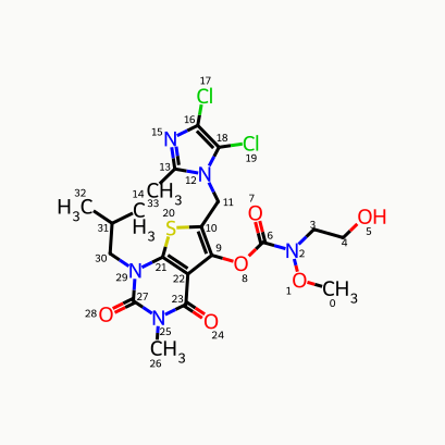 CON(CCO)C(=O)Oc1c(Cn2c(C)nc(Cl)c2Cl)sc2c1c(=O)n(C)c(=O)n2CC(C)C